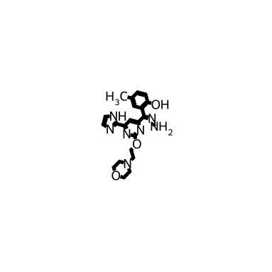 Cc1ccc(O)c(C(=NN)c2cc(-c3ncc[nH]3)nc(OCCN3CCOCC3)n2)c1